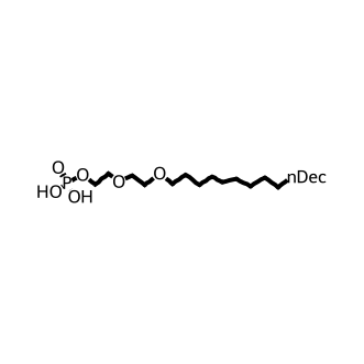 CCCCCCCCCCCCCCCCCCCOCCOCCOP(=O)(O)O